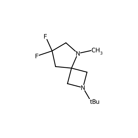 CN1CC(F)(F)CC12CN(C(C)(C)C)C2